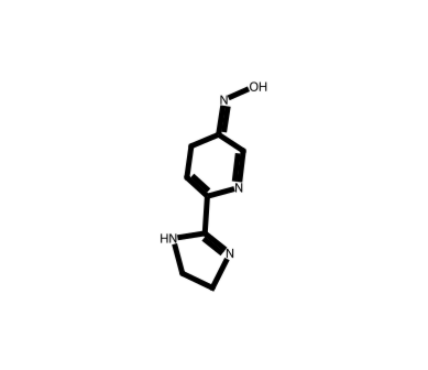 ON=C1C=NC(C2=NCCN2)=CC1